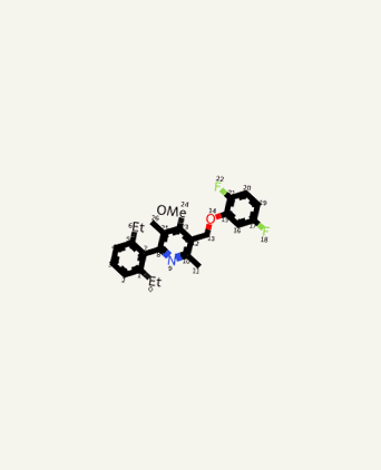 CCc1cccc(CC)c1-c1nc(C)c(COc2cc(F)ccc2F)c(OC)c1C